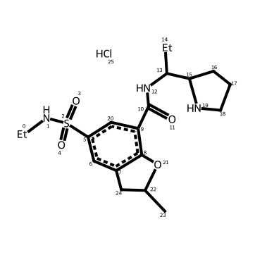 CCNS(=O)(=O)c1cc2c(c(C(=O)NC(CC)C3CCCN3)c1)OC(C)C2.Cl